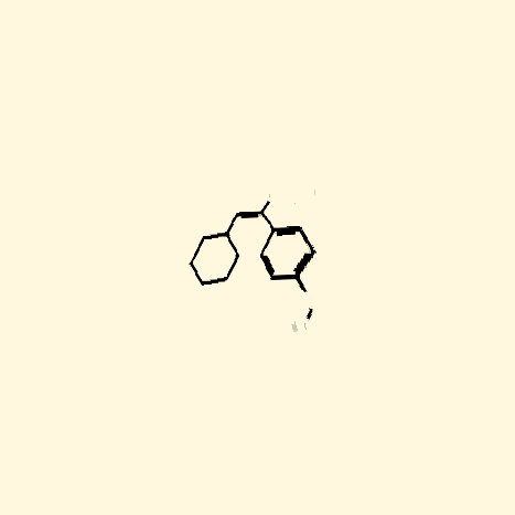 CCOC(=O)C(=CC1CCCCC1)c1ccc(SC(C)C)cc1